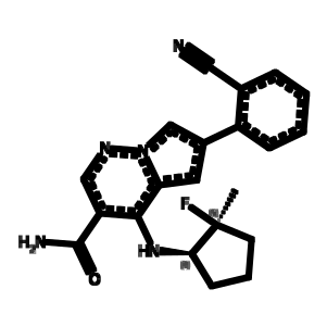 C[C@]1(F)CCC[C@H]1Nc1c(C(N)=O)cnn2cc(-c3ccccc3C#N)cc12